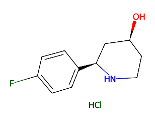 Cl.O[C@H]1CCN[C@@H](c2ccc(F)cc2)C1